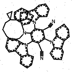 N#Cc1c(-n2c3ccccc3c3ccccc32)c(C#N)c(-n2c3ccccc3c3ccccc32)c(N2CCCCCC3(CC3)c3ccccc32)c1-n1c2ccccc2c2ccccc21